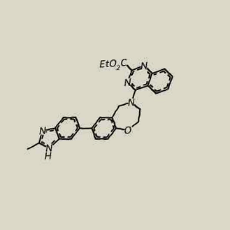 CCOC(=O)c1nc(N2CCOc3ccc(-c4ccc5nc(C)[nH]c5c4)cc3C2)c2ccccc2n1